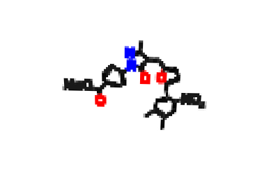 COC(=O)c1ccc(N2N=C(C)/C(=C/c3ccc(-c4cc(C)c(C)cc4[N+](=O)[O-])o3)C2=O)cc1